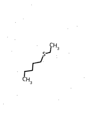 CCCCCSCC